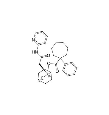 O=C(C[C@]1(OC(=O)C2(c3ccccc3)CCCCCC2)CN2CCC1CC2)Nc1ccccn1